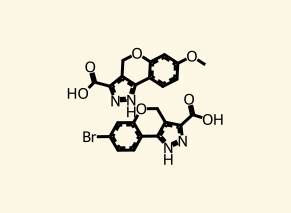 COc1ccc2c(c1)OCc1c(C(=O)O)n[nH]c1-2.O=C(O)c1n[nH]c2c1COc1cc(Br)ccc1-2